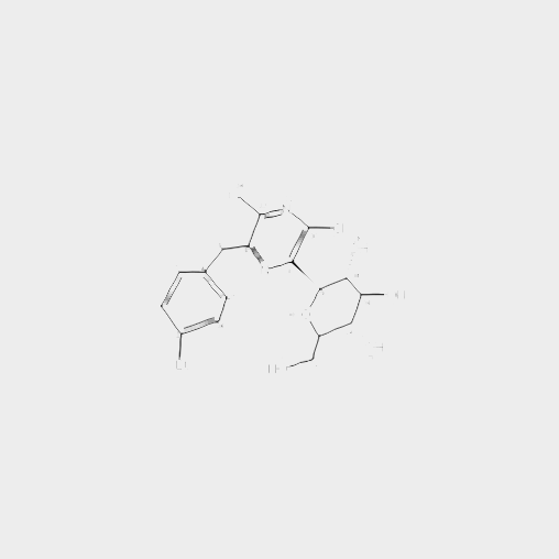 CCc1ccc(Cc2nc([C@@H]3OC(CO)[C@@H](O)C(O)[C@H]3O)c(Cl)nc2Cl)cc1